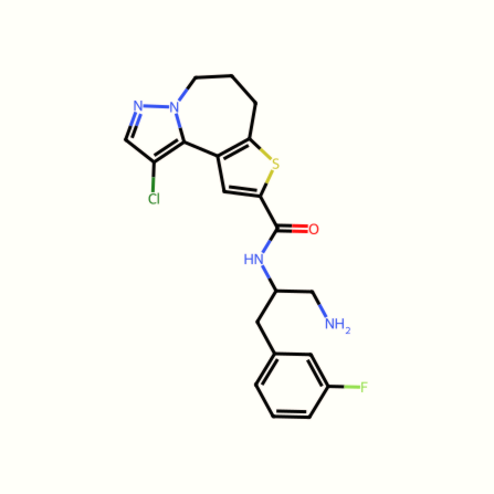 NCC(Cc1cccc(F)c1)NC(=O)c1cc2c(s1)CCCn1ncc(Cl)c1-2